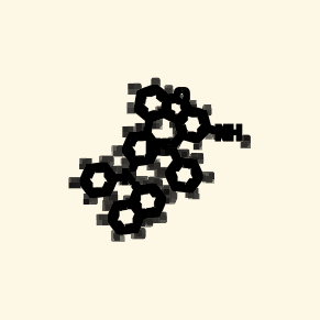 Nc1cc2c3c(c1)oc1cccc(c13)-c1ccc(N(c3ccccc3)c3cccc4ccccc34)cc1[SiH]2c1ccccc1